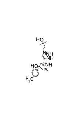 C[C@H]1CC(O)(c2ccc(C(F)(F)F)cc2)C[C@@H](C2=CN(CCC(C)(C)O)NN2)N1